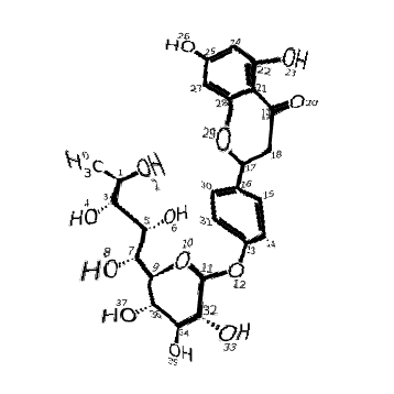 C[C@@H](O)[C@@H](O)[C@H](O)[C@@H](O)[C@H]1OC(Oc2ccc(C3CC(=O)c4c(O)cc(O)cc4O3)cc2)[C@H](O)[C@@H](O)[C@@H]1O